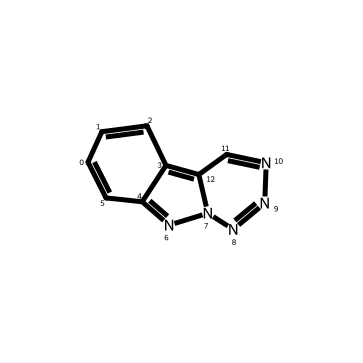 c1ccc2c(c1)nn1nnncc21